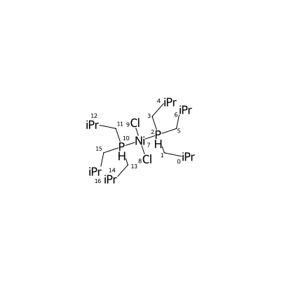 CC(C)C[PH](CC(C)C)(CC(C)C)[Ni]([Cl])([Cl])[PH](CC(C)C)(CC(C)C)CC(C)C